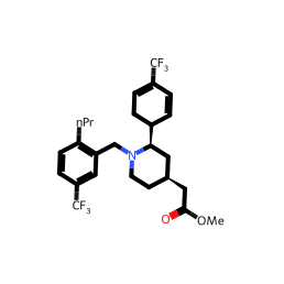 CCCc1ccc(C(F)(F)F)cc1CN1CC[C@H](CC(=O)OC)C[C@@H]1C1C=CC(C(F)(F)F)=CC1